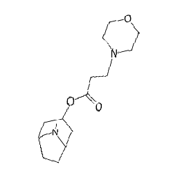 CN1C2CCC1CC(OC(=O)CCN1CCOCC1)C2